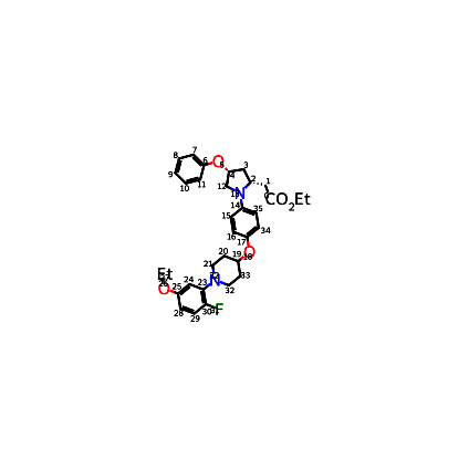 CCOC(=O)C[C@H]1C[C@@H](Oc2ccccc2)CN1c1ccc(OC2CCN(c3cc(OCC)ccc3F)CC2)cc1